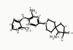 Nc1nc(N2CCC3(CC2)CCC(F)(F)C3N)cnc1Sc1cccnc1C(F)(F)F